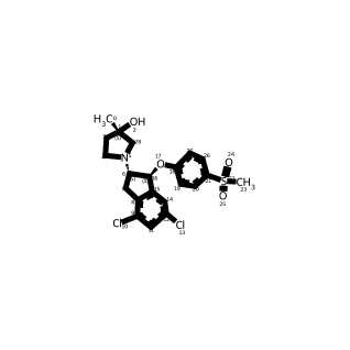 C[C@]1(O)CCN([C@H]2Cc3c(Cl)cc(Cl)cc3[C@@H]2Oc2ccc(S(C)(=O)=O)cc2)C1